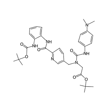 CN(C)c1ccc(NC(=O)N(CC(=O)OC(C)(C)C)Cc2ccc(C(=O)Nc3ccccc3NC(=O)OC(C)(C)C)nc2)cc1